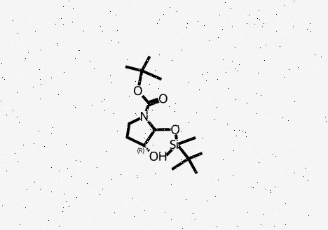 CC(C)(C)OC(=O)N1CC[C@@H](O)C1O[Si](C)(C)C(C)(C)C